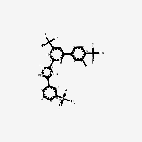 Cc1cc(-c2cc(C(F)(F)F)nc(-c3nc(-c4cccc(S(N)(=O)=O)c4)no3)n2)ccc1C(F)(F)F